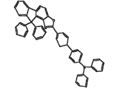 C1=CC(c2ccc(N(c3ccccc3)c3ccccc3)cc2)CC=C1c1nc2c3c(ccc2o1)-c1ccccc1C3(c1ccccc1)c1ccccc1